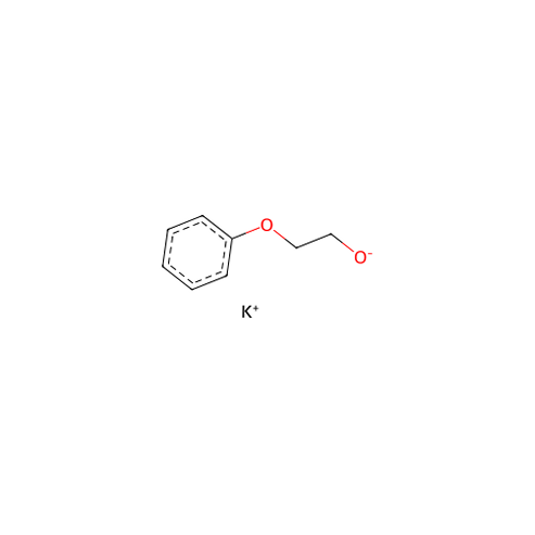 [K+].[O-]CCOc1ccccc1